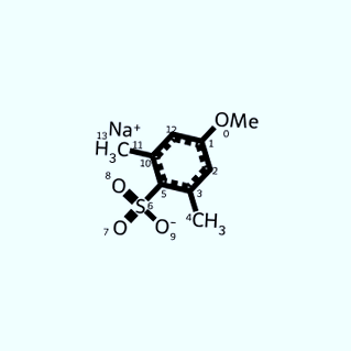 COc1cc(C)c(S(=O)(=O)[O-])c(C)c1.[Na+]